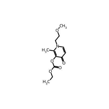 CCOC(=O)Oc1c(C)n(CCOC)ccc1=O